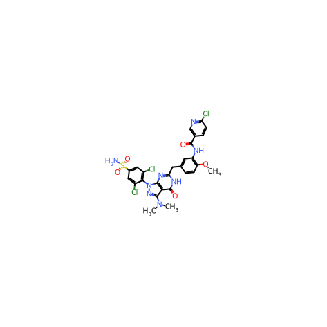 COc1ccc(Cc2nc3c(c(N(C)C)nn3-c3c(Cl)cc(S(N)(=O)=O)cc3Cl)c(=O)[nH]2)cc1NC(=O)c1ccc(Cl)nc1